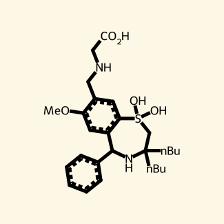 CCCCC1(CCCC)CS(O)(O)c2cc(CNCC(=O)O)c(OC)cc2C(c2ccccc2)N1